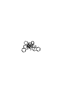 CC12CCC(c3c1n(Cc1ccccc1)n(-c1ccc4ccccc4c1)c3=O)C2(C)C